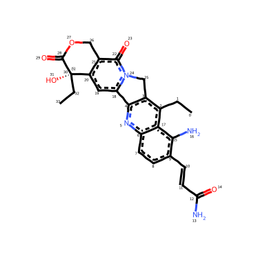 CCc1c2c(nc3ccc(C=CC(N)=O)c(N)c13)-c1cc3c(c(=O)n1C2)COC(=O)[C@]3(O)CC